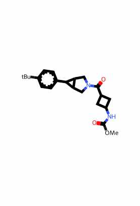 COC(=O)NC1CC(C(=O)N2CC3C(C2)C3c2ccc(C(C)(C)C)cc2)C1